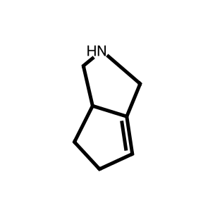 C1=C2CNCC2CC1